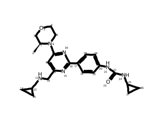 C[C@H]1COCCN1c1cc(CNC2CC2)nc(-c2ccc(NC(=O)NC3CC3)cc2)n1